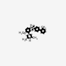 COc1ccc(NS(=O)(=O)c2ccc(-c3ccccc3C)cc2)cc1N1C[C@@H](C)N[C@@H](C)C1